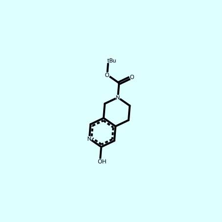 CC(C)(C)OC(=O)N1CCc2cc(O)ncc2C1